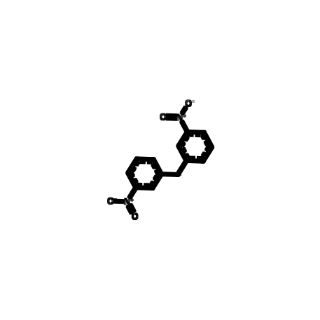 O=[N+]([O-])c1cccc([CH]c2cccc([N+](=O)[O-])c2)c1